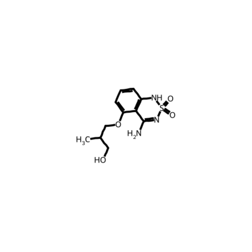 CC(CO)COc1cccc2c1C(N)=NS(=O)(=O)N2